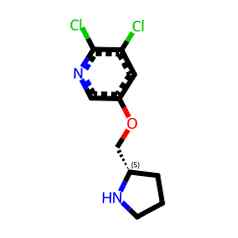 Clc1cc(OC[C@@H]2CCCN2)cnc1Cl